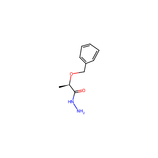 C[C@@H](OCc1ccccc1)C(=O)NN